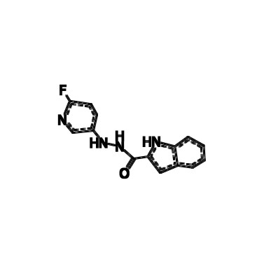 O=C(NNc1ccc(F)nc1)c1cc2ccccc2[nH]1